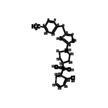 Cc1ccc(Cc2csc(N3CCC(S(=O)(=O)c4ccccc4Cl)CC3)n2)cc1